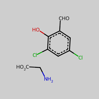 NCC(=O)O.O=Cc1cc(Cl)cc(Cl)c1O